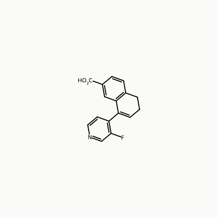 O=C(O)c1ccc2c(c1)C(c1ccncc1F)=CCC2